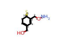 NOCC1=CC(CO)=CCC1=S